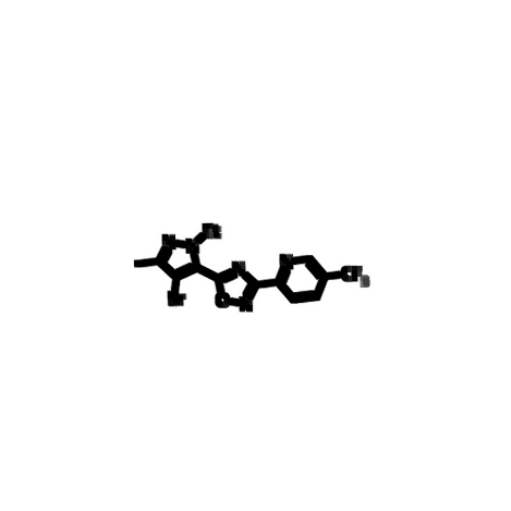 CCn1nc(C)c(Br)c1-c1nc(-c2ccc(C(F)(F)F)cn2)no1